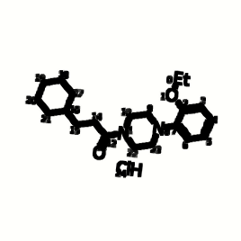 CCOc1ccccc1N1CCN(C(=O)CCC2CCCCC2)CC1.Cl